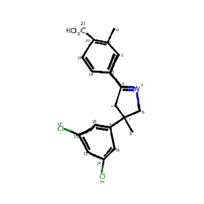 Cc1cc(C2=NCC(C)(c3cc(Cl)cc(Cl)c3)C2)ccc1C(=O)O